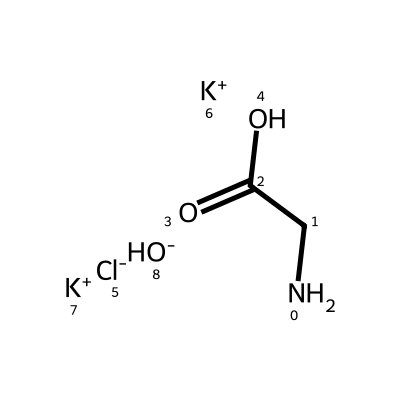 NCC(=O)O.[Cl-].[K+].[K+].[OH-]